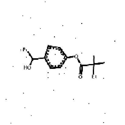 CCCC(O)c1ccc(OC(=O)C(C)(C)CC)cc1